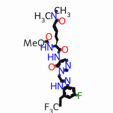 COC(=O)N[C@@H](CC/C=C/C(=O)N(C)C)C(=O)Nc1cncn(Cc2nc3cc(F)cc(CCC(F)(F)F)c3[nH]2)c1=O